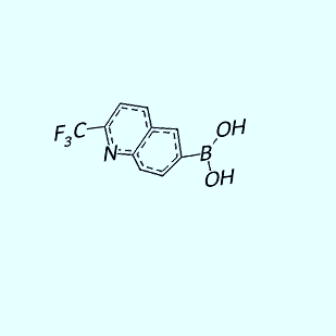 OB(O)c1ccc2nc(C(F)(F)F)ccc2c1